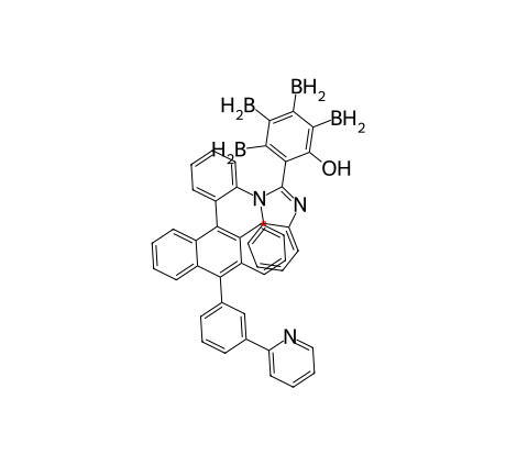 Bc1c(B)c(B)c(-c2nc3ccccc3n2-c2ccccc2-c2c3ccccc3c(-c3cccc(-c4ccccn4)c3)c3ccccc23)c(O)c1B